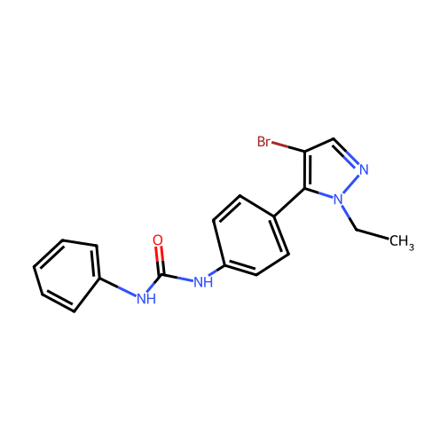 CCn1ncc(Br)c1-c1ccc(NC(=O)Nc2ccccc2)cc1